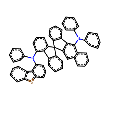 c1ccc(N(c2ccccc2)c2c3c(cc4ccccc24)C2(c4ccccc4-c4c(N(c5ccccc5)c5cccc6sc7ccccc7c56)cccc42)c2ccccc2-3)cc1